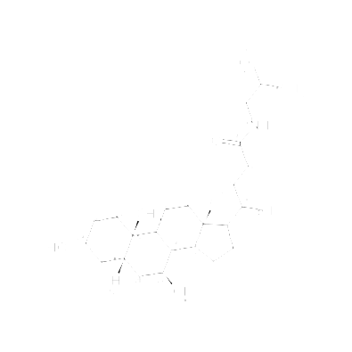 CC(CNC(=O)CCC(C)C1CCC2C3C(CC[C@]12C)[C@@]1(C)CC[C@@H](O)C[C@H]1C[C@@H]3O)C(=O)O